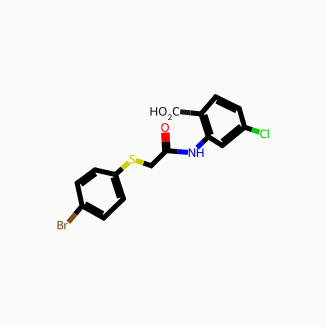 O=C(CSc1ccc(Br)cc1)Nc1cc(Cl)ccc1C(=O)O